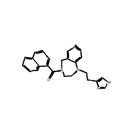 O=C(c1cccc2ccccc12)N1CCN(CCc2c[nH]cn2)c2ccccc2C1